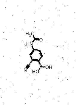 CC(=O)Nc1ccc(B(O)O)c(C#N)c1